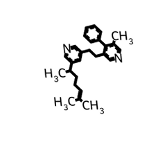 CC(C)=CCCC(C)c1cncc(CCc2cncc(C)c2-c2ccccc2)c1